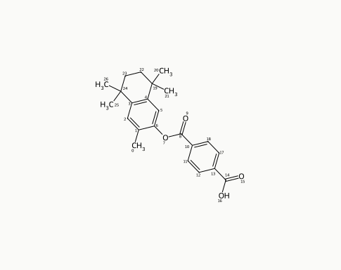 Cc1cc2c(cc1OC(=O)c1ccc(C(=O)O)cc1)C(C)(C)CCC2(C)C